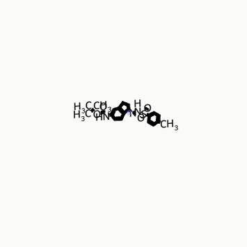 Cc1ccc(S(=O)(=O)N/N=C2\CCc3cc(NC(=O)OC(C)(C)C)ccc32)cc1